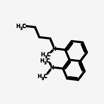 CCCCN(C)c1cccc2cccc(N(C)C)c12